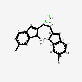 Cc1ccc2c(c1)[CH]1[Hf+2][CH]3C(=Cc4ccc(C)cc43)CCC1=C2.[Cl-].[Cl-]